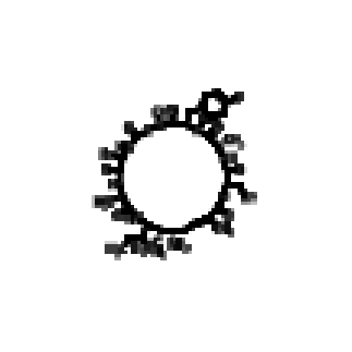 C/C=C(\C)[C@H]1NC(=O)[C@@H](C)NC(=O)C(C(C)CC)NC(=O)CN(C)C(=O)[C@@H](Cc2ccc(F)cc2)N(C)C(=O)[C@H](C)NC(=O)[C@@H](CC(C)C)OC(=O)/C(C)=C/C[C@H](N)[C@@H]1C